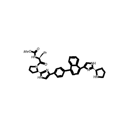 COC(=O)N[C@H](C(=O)N1CCC[C@H]1c1nc(-c2ccc(-c3ccc(-c4c[nH]c([C@@H]5CCCN5)n4)c4ccccc34)cc2)c[nH]1)C(C)C